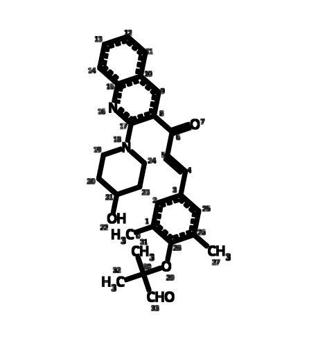 Cc1cc(/C=C/C(=O)c2cc3ccccc3nc2N2CCC(O)CC2)cc(C)c1OC(C)(C)C=O